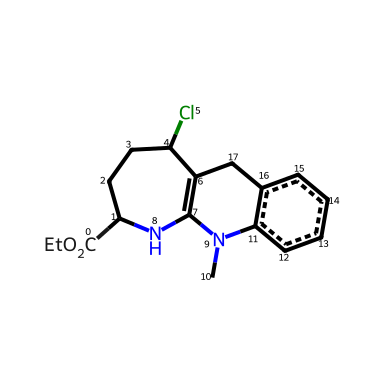 CCOC(=O)C1CCC(Cl)C2=C(N1)N(C)c1ccccc1C2